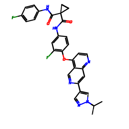 CC(C)n1cc(-c2cc3nccc(Oc4ccc(NC(=O)C5(C(=O)Nc6ccc(F)cc6)CC5)cc4F)c3cn2)cn1